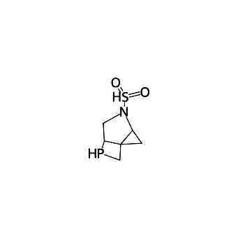 O=[SH](=O)N1CC2PCC23CC13